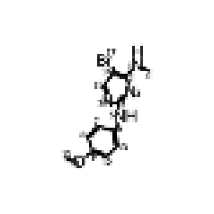 CNc1nc(Nc2ccc(OC)cc2)ncc1Br